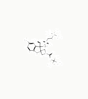 C=CC1(NS(=O)(=O)CC[Si](C)(C)C)c2cc(Br)ccc2CC12CN(C(=O)OC(C)(C)C)C2